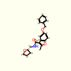 Cc1oc2ccc(OCc3ccccc3)cc2c1C(=O)NC[C@@H]1CCCO1